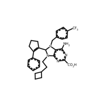 Nc1nc(C(=O)O)nc2c1N(Cc1ccc(C(F)(F)F)cc1)C(C1=C(c3ccccc3)CCC1)N2CCC1CCC1